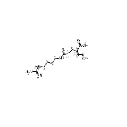 N=C(N)NCCCCNC(=O)NC[C@H](NC=O)C(=O)O